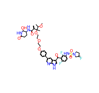 C=C(C(=O)NC1CCC(=O)NC1O)C(C)(OCCOCCOc1ccc(-c2cnc3[nH]cc(C(=O)c4c(F)ccc(NS(=O)(=O)N5CC[C@@H](F)C5)c4F)c3c2)cc1)C(C)OC